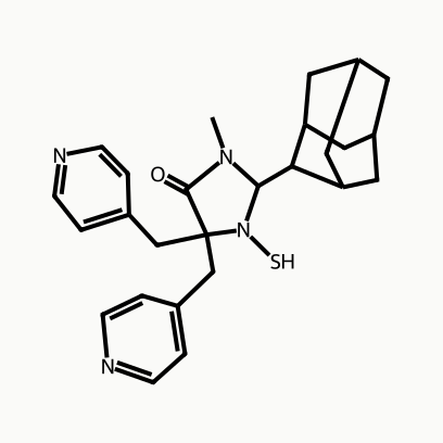 CN1C(=O)C(Cc2ccncc2)(Cc2ccncc2)N(S)C1C1C2CC3CC(C2)CC1C3